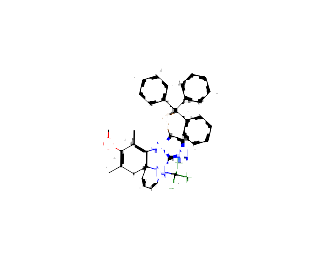 COC1=C(C)CC23C=CC=C[N+]2(C(F)(F)F)c2ncc(SC(c4ccccc4)(c4ccccc4)c4ccccc4)n2C3=C1C